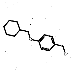 BrCc1ccc(OCC2CCCCC2)cc1